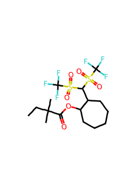 CCC(C)(C)C(=O)OC1CCCCCC1C(S(=O)(=O)C(F)(F)F)S(=O)(=O)C(F)(F)F